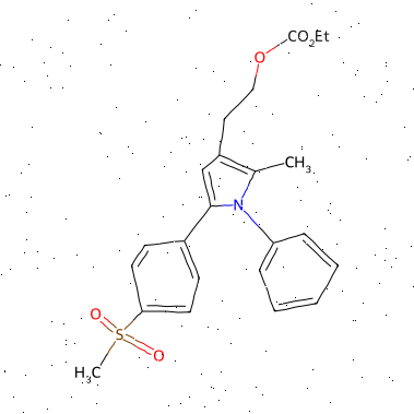 CCOC(=O)OCCc1cc(-c2ccc(S(C)(=O)=O)cc2)n(-c2ccccc2)c1C